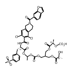 CC(OC(=O)OCC(COC(=O)[C@@H](C)O)COC(=O)[C@@H](C)OC(=O)O)OC(=O)[C@H](Cc1cccc(S(C)(=O)=O)c1)NC(=O)c1c(Cl)cc2c(c1Cl)CCN(C(=O)c1ccc3ccoc3c1)C2